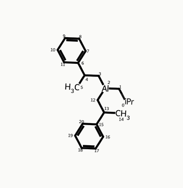 CC(C)[CH2][Al]([CH2]C(C)c1ccccc1)[CH2]C(C)c1ccccc1